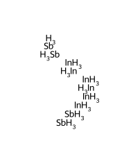 [InH3].[InH3].[InH3].[InH3].[InH3].[InH3].[SbH3].[SbH3].[SbH3].[SbH3]